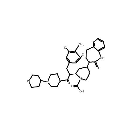 Cc1c(Cl)cc(CC(C(=O)N2CCN(C3CCNCC3)CC2)[C@H]2CC(N3CCc4ccccc4NC3=O)CCN2C(=O)O)cc1Cl